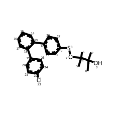 CC(C)(O)C(C)(C)OSc1ccc(-c2ccccc2-c2ccc(Cl)cc2)cc1